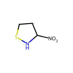 O=[N+]([O-])C1[CH]CSN1